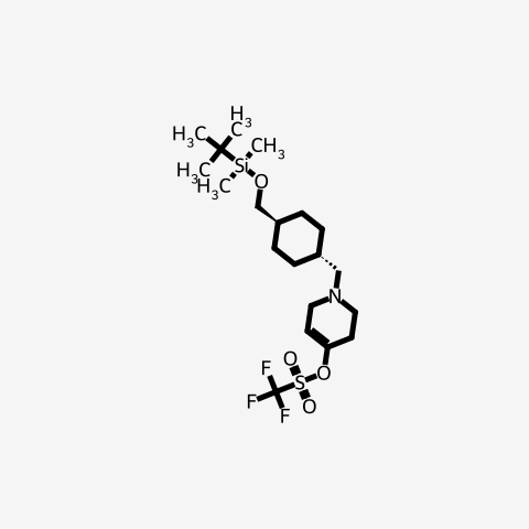 CC(C)(C)[Si](C)(C)OC[C@H]1CC[C@H](CN2CC=C(OS(=O)(=O)C(F)(F)F)CC2)CC1